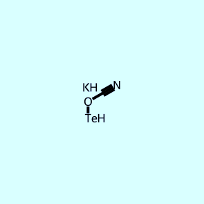 N#CO[TeH].[KH]